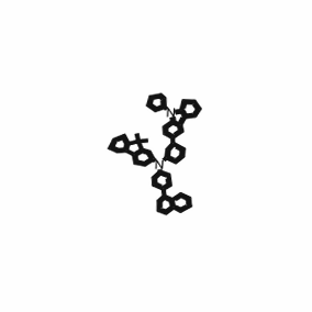 CC1(C)c2ccccc2-c2ccc(N(c3ccc(-c4cccc5ccccc45)cc3)c3cccc(-c4ccc5c(c4)c4ccccc4n5-c4ccccc4)c3)cc21